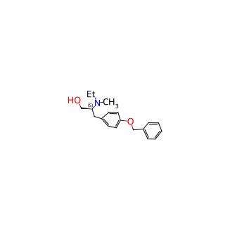 CCN(C)[C@H](CO)Cc1ccc(OCc2ccccc2)cc1